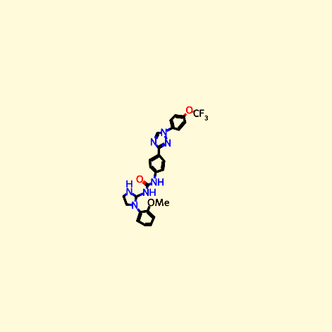 COc1ccccc1N1CCNC1NC(=O)Nc1ccc(-c2ncn(-c3ccc(OC(F)(F)F)cc3)n2)cc1